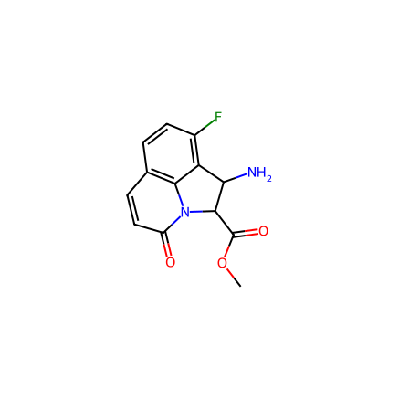 COC(=O)C1C(N)c2c(F)ccc3ccc(=O)n1c23